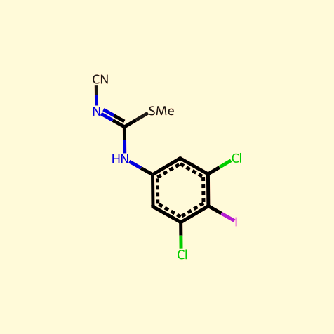 CS/C(=N\C#N)Nc1cc(Cl)c(I)c(Cl)c1